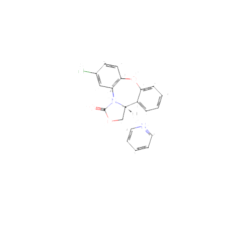 O=C1O[C@@H](c2ccccn2)[C@H]2c3ccccc3Oc3ccc(Cl)cc3N12